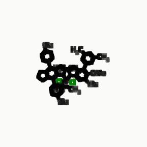 COc1c(C(C)(C)C)cc2c(c1-c1cc(C)cc(C)c1)C=C(C)[CH]2[Zr]([Cl])([Cl])([CH]1C(C)=Cc2c(-c3ccc(C(C)(C)C)cc3)c3c(c(-c4ccc(C(C)(C)C)cc4)c21)CCC3)[SiH](C)C